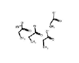 CCC(=O)[O-].CCC(=O)[O-].CCC(=O)[O-].CCC(=O)[O-].[Pb+4]